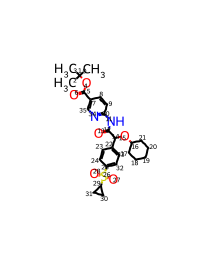 CC(C)(C)OC(=O)c1ccc(NC(=O)C(OC2CCCCC2)c2ccc(S(=O)(=O)C3CC3)cc2)nc1